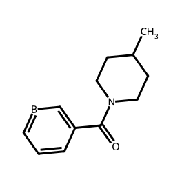 CC1CCN(C(=O)c2cbccc2)CC1